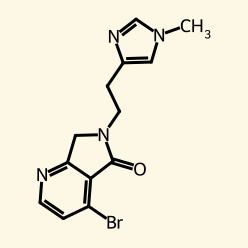 Cn1cnc(CCN2Cc3nccc(Br)c3C2=O)c1